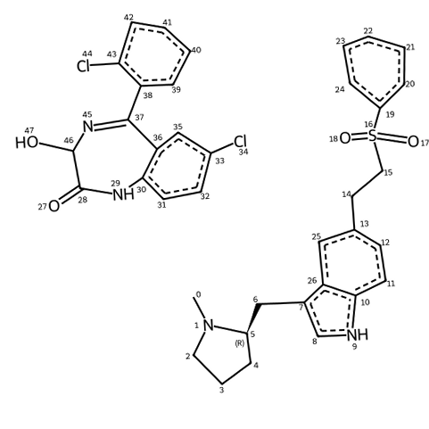 CN1CCC[C@@H]1Cc1c[nH]c2ccc(CCS(=O)(=O)c3ccccc3)cc12.O=C1Nc2ccc(Cl)cc2C(c2ccccc2Cl)=NC1O